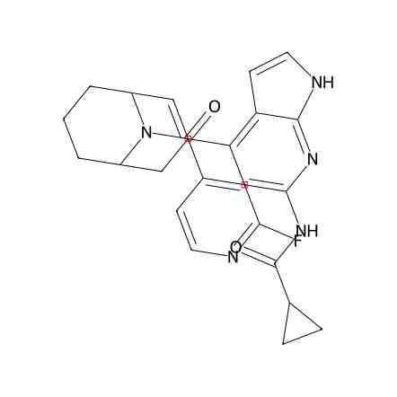 O=C(Nc1cc(C2=CC3CCCC(C2)N3C(=O)c2ccnc(F)c2)c2cc[nH]c2n1)C1CC1